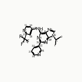 CC(C)n1cnc2c(Nc3ccnc(C(F)(F)F)c3)nc(-c3cccnc3)nc21